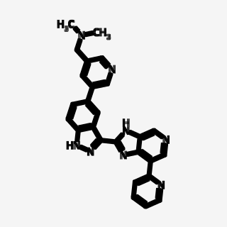 CN(C)Cc1cncc(-c2ccc3[nH]nc(-c4nc5c(-c6ccccn6)cncc5[nH]4)c3c2)c1